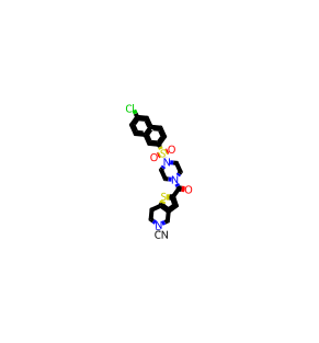 N#CN1CCc2sc(C(=O)N3CCN(S(=O)(=O)c4ccc5cc(Cl)ccc5c4)CC3)cc2C1